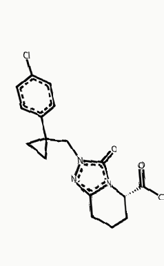 O=C(O)[C@@H]1CCCc2nn(CC3(c4ccc(Cl)cc4)CC3)c(=O)n21